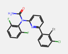 CCc1c(Cl)cccc1-c1cccc(N(C(N)=O)c2c(F)cccc2F)n1